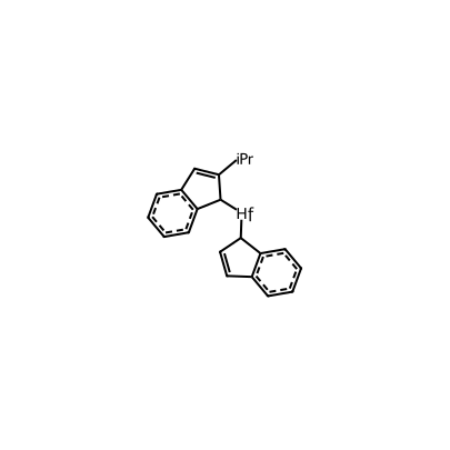 CC(C)C1=Cc2ccccc2[CH]1[Hf][CH]1C=Cc2ccccc21